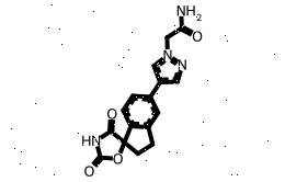 NC(=O)Cn1cc(-c2ccc3c(c2)CCC32OC(=O)NC2=O)cn1